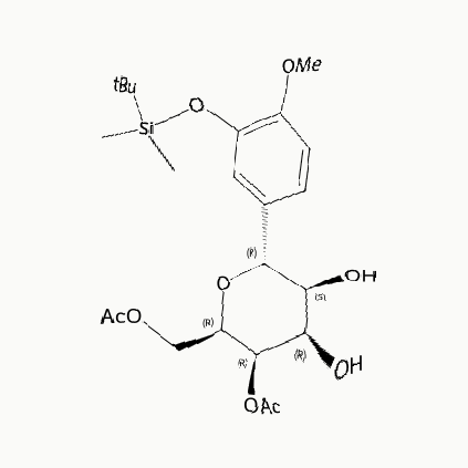 COc1ccc([C@H]2O[C@H](COC(C)=O)[C@H](OC(C)=O)[C@H](O)[C@@H]2O)cc1O[Si](C)(C)C(C)(C)C